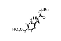 CC(C)(C)OC(=O)N/N=c1/ccc(CC(=O)O)c[nH]1